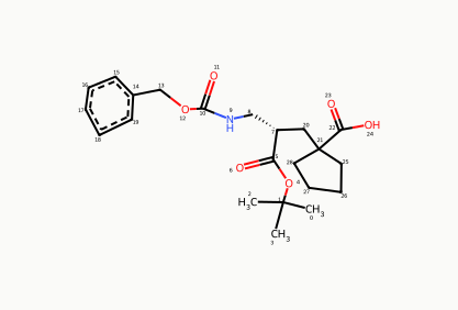 CC(C)(C)OC(=O)[C@H](CNC(=O)OCc1ccccc1)CC1(C(=O)O)CCCC1